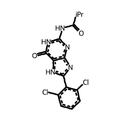 CC(C)C(=O)Nc1nc2nc(-c3c(Cl)cccc3Cl)[nH]c2c(=O)[nH]1